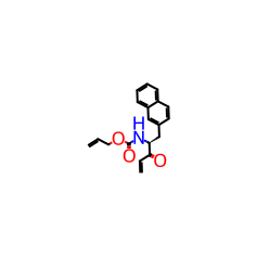 C=CCOC(=O)N[C@@H](Cc1ccc2ccccc2c1)C(=O)C=C